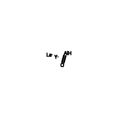 [La].[O]=[AlH].[Y]